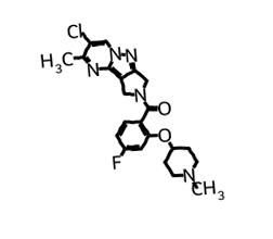 Cc1nc2c3c(nn2cc1Cl)CN(C(=O)c1ccc(F)cc1OC1CCN(C)CC1)C3